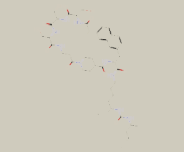 O=C(O)CCC(NC(=O)NC(CCCCNC(=O)C(Cc1ccc2ccccc2c1)NC(=O)C1CCN(C(=O)CCNC(=O)C(CO)NC(=O)C(CO)NC(=O)C(CO)NC(=O)CS)CC1)C(=O)O)C(=O)O